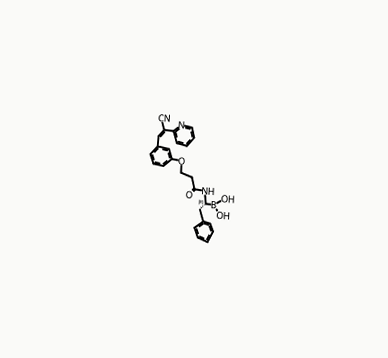 N#CC(=Cc1cccc(OCCC(=O)N[C@@H](Cc2ccccc2)B(O)O)c1)c1ccccn1